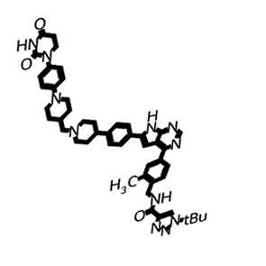 Cc1cc(-c2ncnc3[nH]c(-c4ccc(C5CCN(CC6CCN(c7ccc(N8CCC(=O)NC8=O)cc7)CC6)CC5)cc4)cc23)ccc1CNC(=O)c1cn(C(C)(C)C)nn1